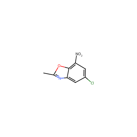 Cc1nc2cc(Cl)cc([N+](=O)[O-])c2o1